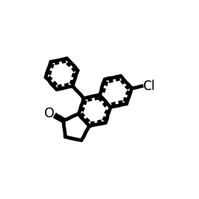 O=C1CCc2cc3cc(Cl)ccc3c(-c3ccccc3)c21